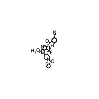 Cn1cc(C2CCN(C(=O)[C@@H]3CCCS3)CC2)c2c(C(F)(F)F)c(NC(=O)c3cccc(C#N)c3)cnc21